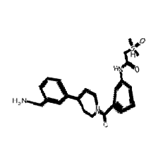 C[SH](C)(=O)CC(=O)Nc1cccc(C(=O)N2CCC(c3cccc(CN)c3)CC2)c1